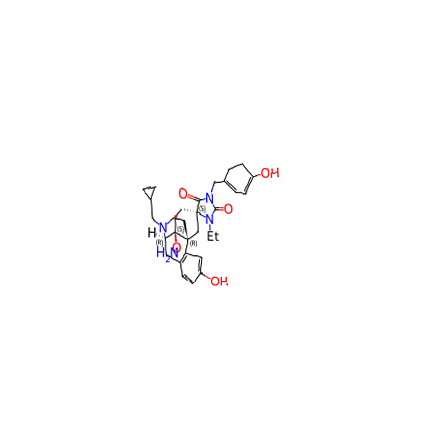 CCN1C(=O)N(CC2=CC=C(O)CC2)C(=O)[C@@]12CC[C@@]1(ON)[C@H]3Cc4ccc(O)cc4[C@@]1(CCN3CC1CC1)C2